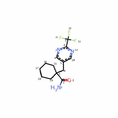 NC(=O)C1([CH]c2cnc(C(F)(F)F)nc2)CCCCC1